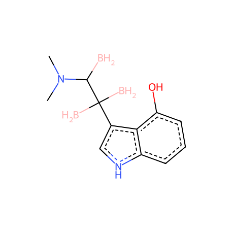 BC(N(C)C)C(B)(B)c1c[nH]c2cccc(O)c12